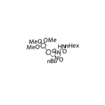 CCCCCCNC(=O)CN1CC(=O)N(CCCC)[C@@H](Cc2ccc(-c3cc(OC)c(OC)c(OC)c3)cc2)C1=O